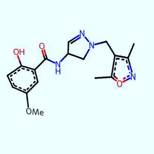 COc1ccc(O)c(C(=O)NC2C=NN(Cc3c(C)noc3C)C2)c1